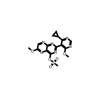 COc1cnc2nc(-c3c(OC)ncnc3C3CC3)nc(OS(C)(=O)=O)c2n1